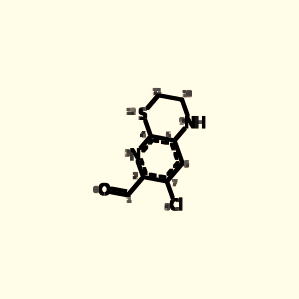 O=Cc1nc2c(cc1Cl)NCCS2